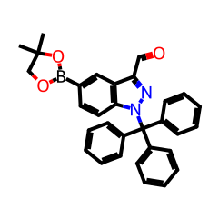 CC1(C)COB(c2ccc3c(c2)c(C=O)nn3C(c2ccccc2)(c2ccccc2)c2ccccc2)O1